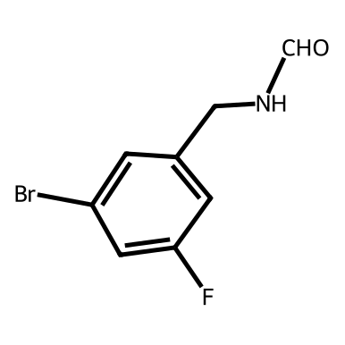 O=CNCc1cc(F)cc(Br)c1